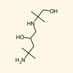 CC(C)(N)CC(O)CNC(C)(C)CO